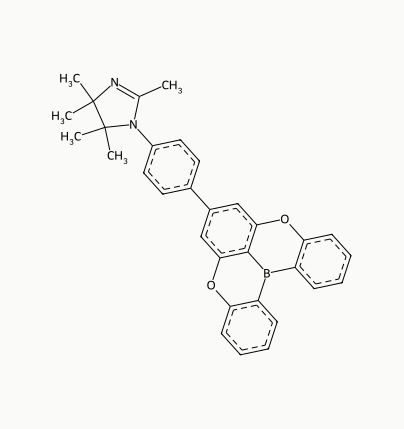 CC1=NC(C)(C)C(C)(C)N1c1ccc(-c2cc3c4c(c2)Oc2ccccc2B4c2ccccc2O3)cc1